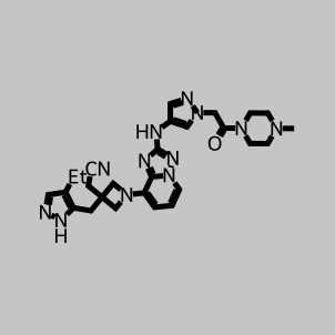 CCc1cn[nH]c1CC1(CC#N)CN(c2cccn3nc(Nc4cnn(CC(=O)N5CCN(C)CC5)c4)nc23)C1